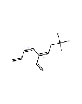 C=C/C=C\C(C=C)=C/CC(F)(F)F